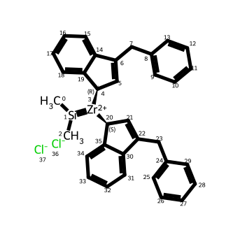 C[Si](C)=[Zr+2]([C@@H]1C=C(Cc2ccccc2)c2ccccc21)[C@H]1C=C(Cc2ccccc2)c2ccccc21.[Cl-].[Cl-]